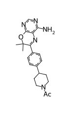 CC(=O)N1CCC(c2ccc(C3=Nc4c(N)ncnc4OC3(C)C)cc2)CC1